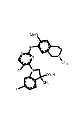 COc1cc2c(cc1Nc1ncc(Cl)c(N3CC(C)(C(=O)O)c4ccc(F)cc43)n1)CN(C)CC2